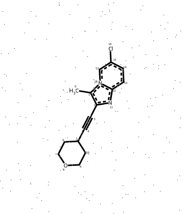 Cc1c(C#CC2CCOCC2)nc2ccc(Cl)cn12